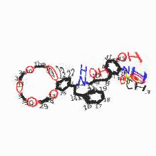 CS(=O)(=O)Nc1cc(C[C@H](O)CNC(Cc2ccccc2)c2ccc3c(c2)OCCOCCOCCOCCO3)ccc1O